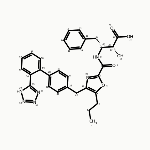 CCCc1oc(C(=O)N[C@H](Cc2ccccc2)[C@@H](O)C(=O)O)nc1Cc1ccc(-c2ccccc2-c2nnn[nH]2)cc1